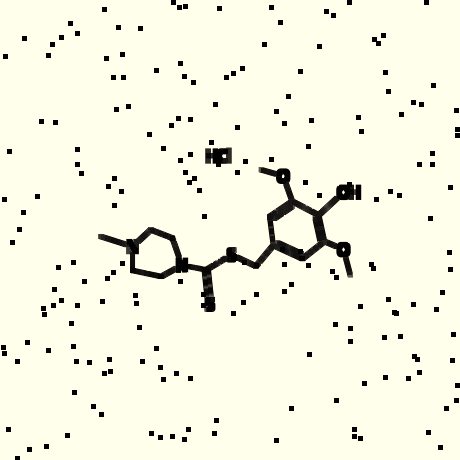 COc1cc(CSC(=S)N2CCN(C)CC2)cc(OC)c1O.Cl